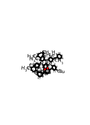 CC(C)(C)c1ccc(N2c3cc(C(C)(C)c4ccccc4)ccc3B3c4cc5c(cc4N(c4ccc6c(c4)C(C)(C)CCC6(C)C)c4cc(C(C)(C)C)cc2c43)C(C)(C)CCC5(C)C)c(-c2ccc(-c3ccccc3)cc2)c1